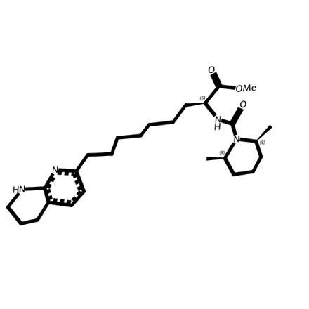 COC(=O)[C@H](CCCCCCCc1ccc2c(n1)NCCC2)NC(=O)N1[C@H](C)CCC[C@@H]1C